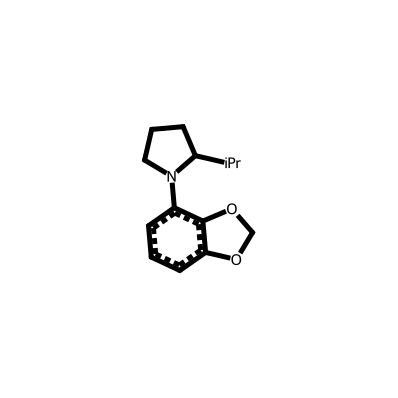 CC(C)C1CCCN1c1cccc2c1OCO2